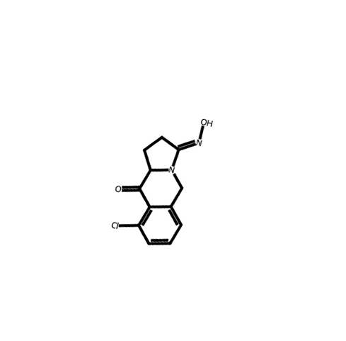 O=C1c2c(Cl)cccc2CN2/C(=N/O)CCC12